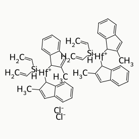 C=C[SiH](C=C)[Hf+]([CH]1C(C)=Cc2ccccc21)[CH]1C(C)=Cc2ccccc21.C=C[SiH](C=C)[Hf+]([CH]1C(C)=Cc2ccccc21)[CH]1C(C)=Cc2ccccc21.[Cl-].[Cl-]